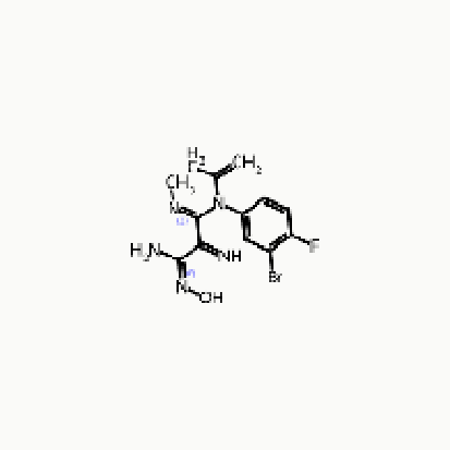 C=C(C)N(/C(=N\C)C(=N)/C(N)=N\O)c1ccc(F)c(Br)c1